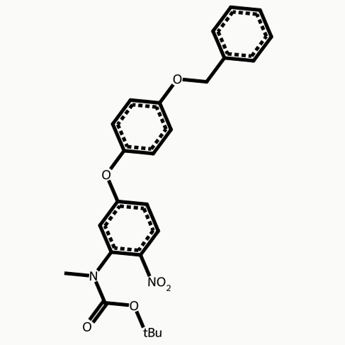 CN(C(=O)OC(C)(C)C)c1cc(Oc2ccc(OCc3ccccc3)cc2)ccc1[N+](=O)[O-]